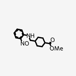 COC(=O)C1CCC(CNc2ccccc2N=O)CC1